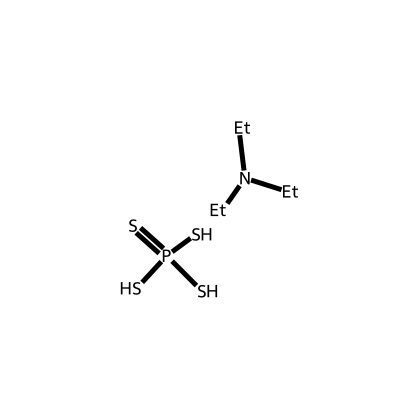 CCN(CC)CC.S=P(S)(S)S